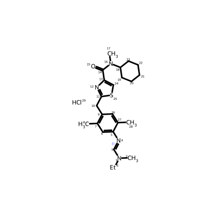 CCN(C)/C=N/c1cc(C)c(Cc2nc(C(=O)N(C)C3CCCCC3)cs2)cc1C.Cl